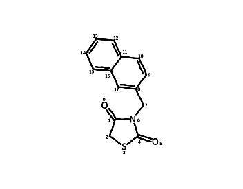 O=C1CSC(=O)N1Cc1ccc2ccccc2c1